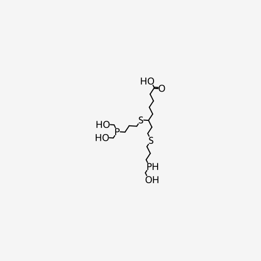 O=C(O)CCCCC(CCSCCCPCO)SCCCP(CO)CO